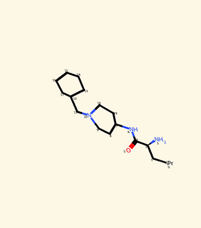 CC(C)C[C@H](N)C(=O)NC1CCN(CC2CCCCC2)CC1